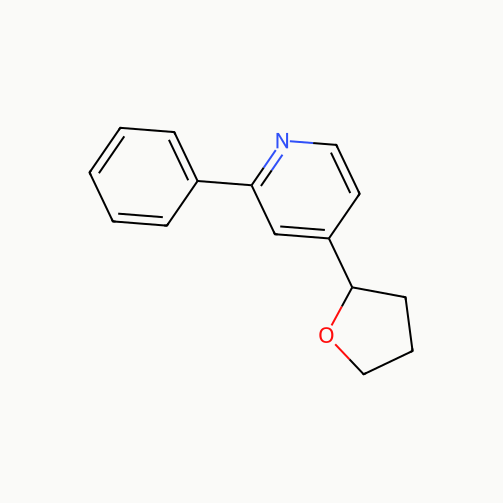 c1ccc(-c2cc(C3CCCO3)ccn2)cc1